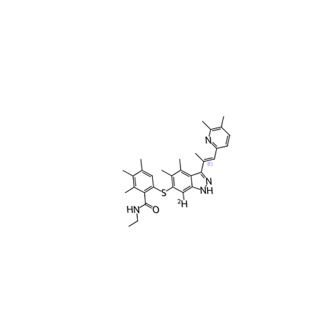 [2H]c1c(Sc2cc(C)c(C)c(C)c2C(=O)NCC)c(C)c(C)c2c(/C(C)=C/c3ccc(C)c(C)n3)n[nH]c12